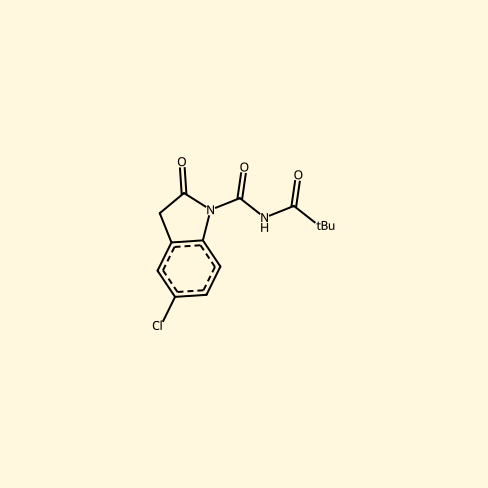 CC(C)(C)C(=O)NC(=O)N1C(=O)Cc2cc(Cl)ccc21